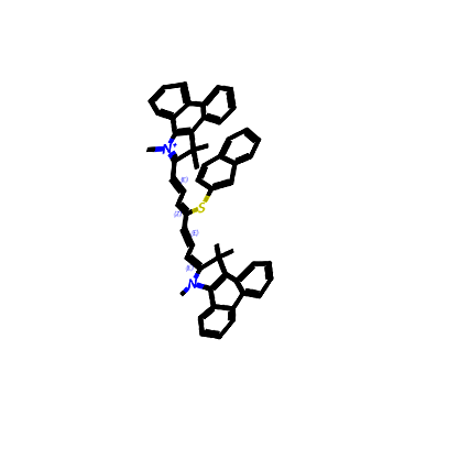 CN1/C(=C/C=C/C(=C/C=C/C2=[N+](C)c3c(c4ccccc4c4ccccc34)C2(C)C)Sc2ccc3ccccc3c2)C(C)(C)c2c1c1ccccc1c1ccccc21